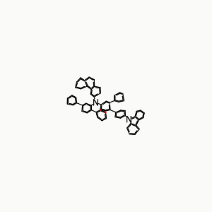 c1ccc(-c2ccc(-c3ccccc3)c(N(c3ccc(-c4ccc(-n5c6ccccc6c6ccccc65)cc4)c(-c4ccccc4)c3)c3ccc4ccc5ccccc5c4c3)c2)cc1